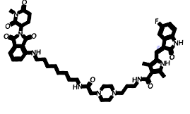 Cc1[nH]c(/C=C2\C(=O)Nc3ccc(F)cc32)c(C)c1C(=O)NCCCN1CCN(CC(=O)NCCCCCCCCNc2cccc3c2C(=O)N(C2CCC(=O)N(C)C2=O)C3=O)CC1